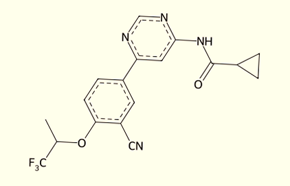 CC(Oc1ccc(-c2cc(NC(=O)C3CC3)ncn2)cc1C#N)C(F)(F)F